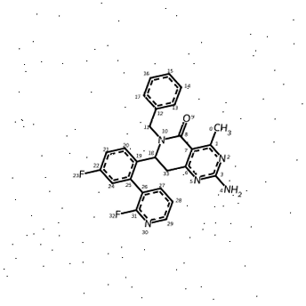 Cc1nc(N)nc2c1C(=O)N(Cc1ccccc1)C(c1ccc(F)cc1-c1cccnc1F)C2